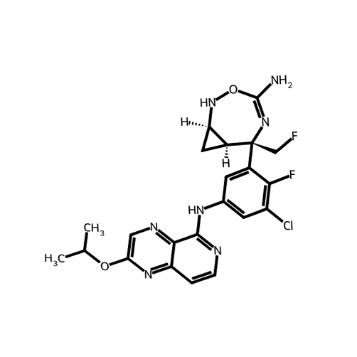 CC(C)Oc1cnc2c(Nc3cc(Cl)c(F)c([C@@]4(CF)N=C(N)ON[C@@H]5C[C@@H]54)c3)nccc2n1